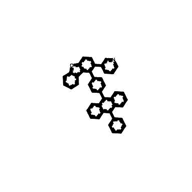 c1ccc(-c2c3ccccc3c(-c3ccc(-c4c(-c5cccnc5)ccc5oc6ccccc6c45)cc3)c3ccccc23)cc1